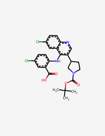 CC(C)(C)OC(=O)N1CCC(c2cnc3ccc(Cl)cc3c2Nc2ccc(Cl)cc2C(=O)O)C1